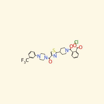 O=C(OCl)c1ccccc1C(=O)N1CCC(c2nc(C(=O)N3CCN(c4cccc(C(F)(F)F)c4)CC3)cs2)CC1